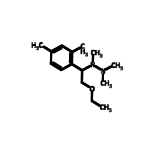 CCOCC(c1ccc(C)cc1C)N(C)N(C)C